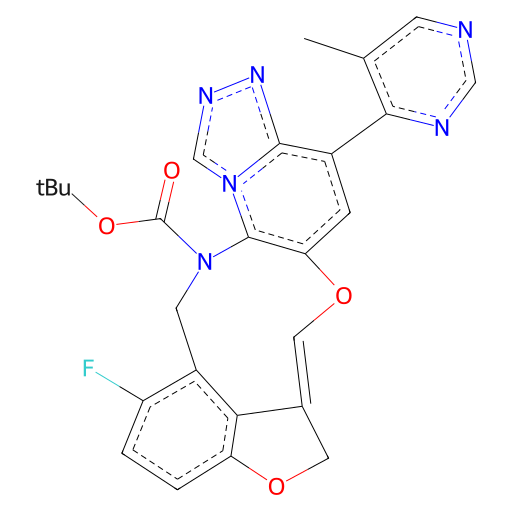 Cc1cncnc1-c1cc2c(n3cnnc13)N(C(=O)OC(C)(C)C)Cc1c(F)ccc3c1/C(=C/O2)CO3